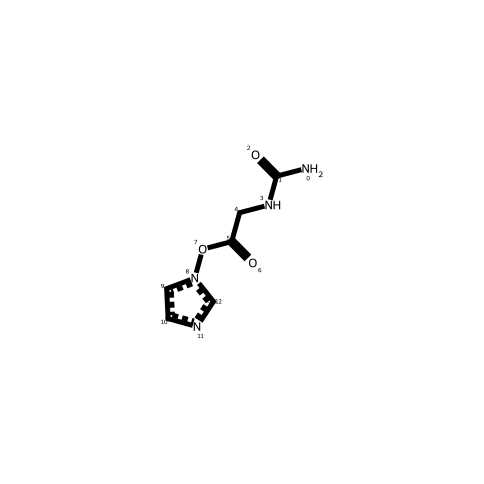 NC(=O)NCC(=O)On1ccnc1